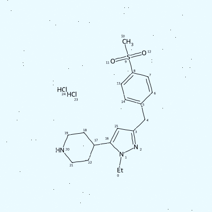 CCn1nc(Cc2ccc(S(C)(=O)=O)cc2)cc1C1CCNCC1.Cl.Cl